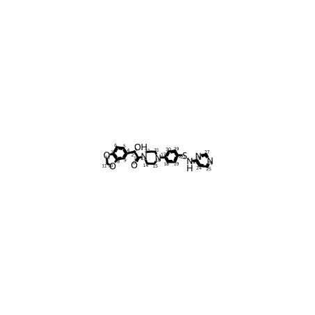 O=C(C(O)c1ccc2c(c1)OCO2)N1CCN(c2ccc(SNc3ccncn3)cc2)CC1